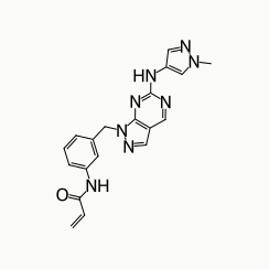 C=CC(=O)Nc1cccc(Cn2ncc3cnc(Nc4cnn(C)c4)nc32)c1